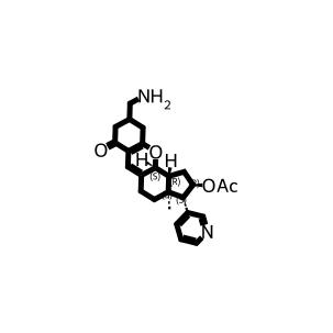 CC(=O)O[C@@H]1C[C@H]2[C@@H]3OC4=C(C=C3CC[C@]2(C)[C@H]1c1cccnc1)C(=O)CC(CN)C4